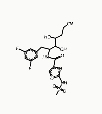 CS(=O)(=O)Nc1nc(C(=O)NC(Cc2cc(F)cc(F)c2)C(O)C(O)CCC#N)co1